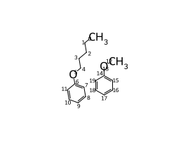 CCCCCOc1ccccc1.COc1ccccc1